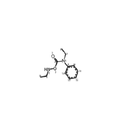 CCNOC(=O)N(CC)c1ccccc1